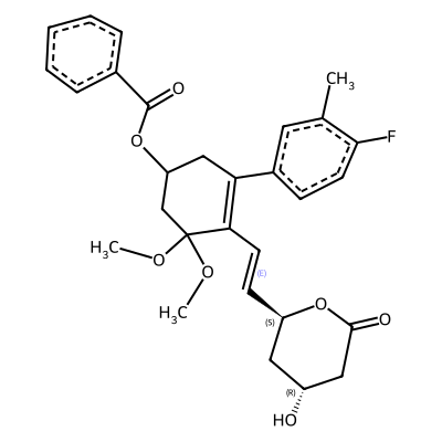 COC1(OC)CC(OC(=O)c2ccccc2)CC(c2ccc(F)c(C)c2)=C1/C=C/[C@@H]1C[C@@H](O)CC(=O)O1